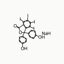 O=C1OC(c2ccc(O)cc2)(c2ccc(O)cc2)c2c(I)c(I)c(I)c(I)c21.[NaH]